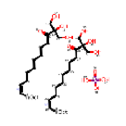 CCCCCCCC/C=C\CCCCCCCC(=O)C(O)(CO)CO.CCCCCCCC/C=C\CCCCCCCC(=O)C(O)(CO)CO.O=P(O)(O)O